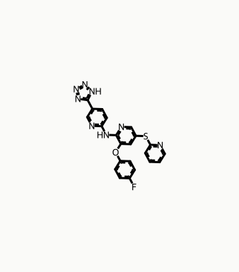 Fc1ccc(Oc2cc(Sc3ccccn3)cnc2Nc2ccc(-c3nnn[nH]3)cn2)cc1